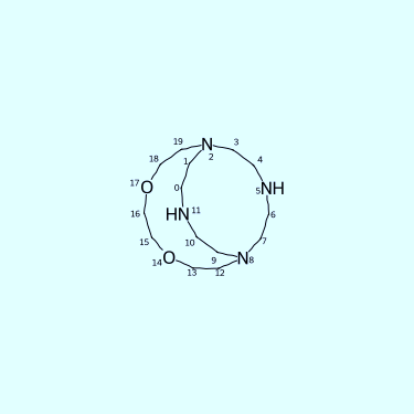 C1CN2CCNCCN(CCN1)CCOCCOCC2